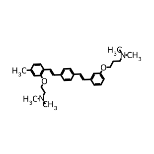 Cc1ccc(/C=C/c2ccc(/C=C/c3cccc(OCCCN(C)C)c3)cc2)c(OCCN(C)C)c1